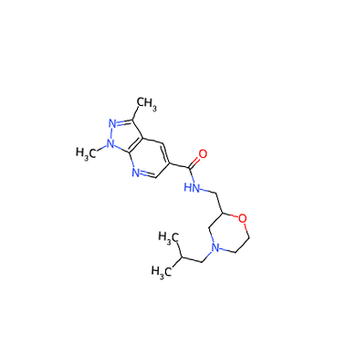 Cc1nn(C)c2ncc(C(=O)NCC3CN(CC(C)C)CCO3)cc12